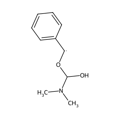 CN(C)C(O)O[CH]c1ccccc1